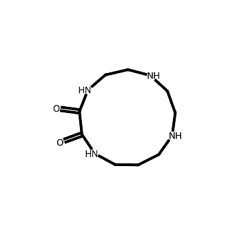 O=C1NCCCNCCNCCNC1=O